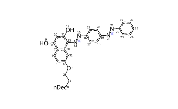 CCCCCCCCCCCCOc1ccc2c(O)cc(O)c(/N=N/c3ccc(/N=N/c4ccccc4)cc3)c2c1